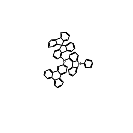 c1ccc(-n2c3ccccc3c3c(N(c4ccc5c6ccccc6c6ccccc6c5c4)c4cccc5c4-c4ccccc4C54c5ccccc5-c5ccccc54)cccc32)cc1